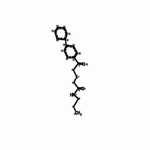 CCCNC(=O)CSCC(=O)c1ccc(-c2ccccc2)cc1